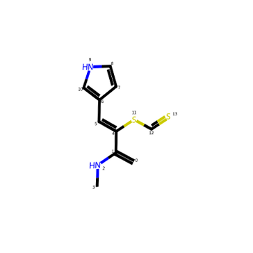 C=C(NC)/C(=C/c1cc[nH]c1)SC=S